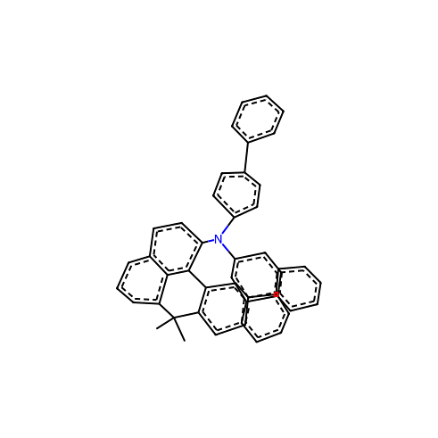 CC1(C)c2ccc(-c3ccccc3)cc2-c2c(N(c3ccc(-c4ccccc4)cc3)c3ccc4ccccc4c3)ccc3cccc1c23